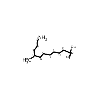 CC(CCCN)CCCCCCC(F)F